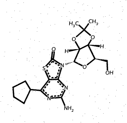 CC1(C)O[C@@H]2[C@H](O1)[C@@H](CO)O[C@@H]2n1c(=O)sc2c(C3CCCC3)nc(N)nc21